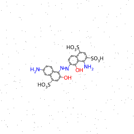 Nc1ccc2c(N=Nc3ccc4c(S(=O)(=O)O)cc(S(=O)(=O)O)c(N)c4c3O)c(O)cc(S(=O)(=O)O)c2c1